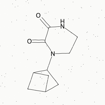 O=C1NCCN(C2CC3CC2C3)C1=O